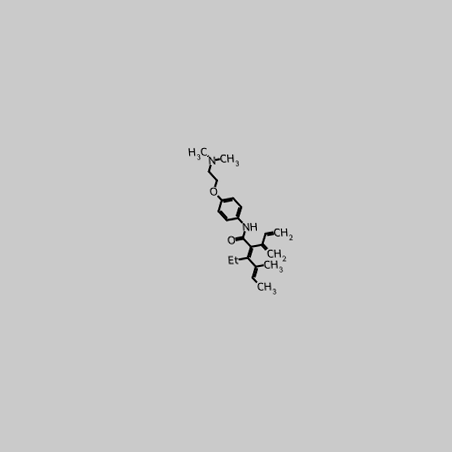 C=CC(=C)/C(C(=O)Nc1ccc(OCCN(C)C)cc1)=C(CC)\C(C)=C\C